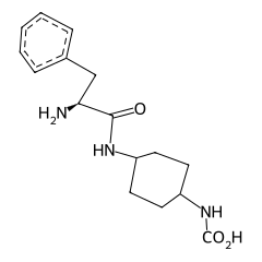 N[C@@H](Cc1ccccc1)C(=O)NC1CCC(NC(=O)O)CC1